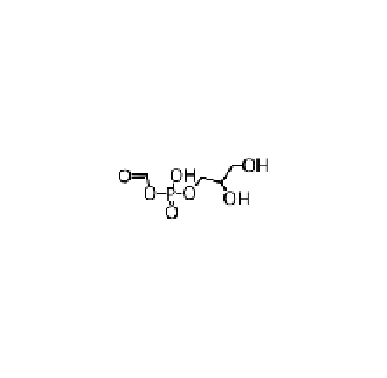 O=COP(=O)(O)OCC(O)CO